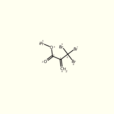 C=C(C(=O)OC(C)C)C(Br)(Br)Br